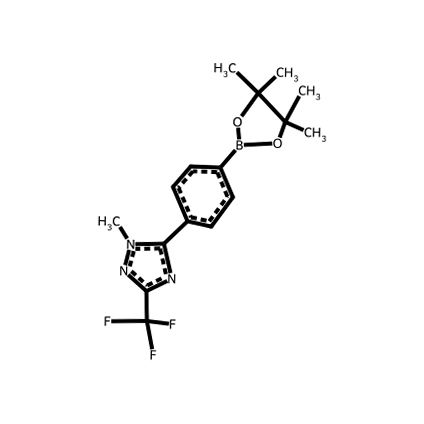 Cn1nc(C(F)(F)F)nc1-c1ccc(B2OC(C)(C)C(C)(C)O2)cc1